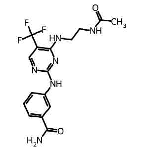 CC(=O)NCCNc1nc(Nc2cccc(C(N)=O)c2)ncc1C(F)(F)F